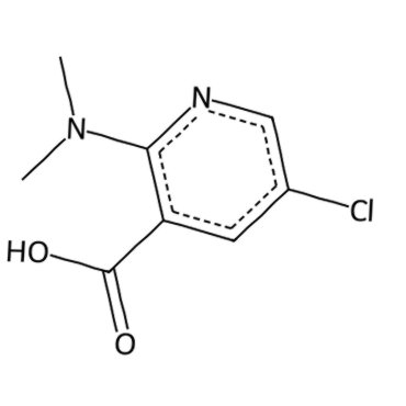 CN(C)c1ncc(Cl)cc1C(=O)O